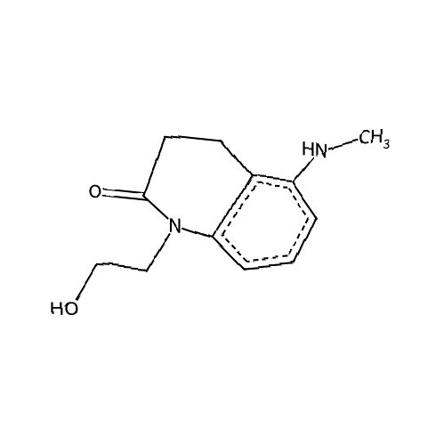 CNc1cccc2c1CCC(=O)N2CCO